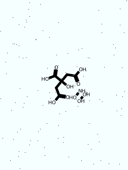 NO.O=C(O)CC(O)(CC(=O)O)C(=O)O.OO